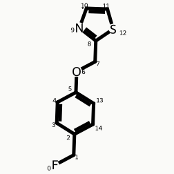 FCc1ccc(OCc2n[c]cs2)cc1